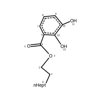 CCCCCCCCCOC(=O)c1cccc(O)c1O